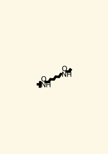 C=CC(=O)NCCCCCCC(=O)NC(C)(C)C